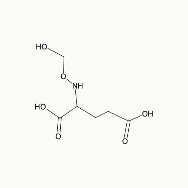 O=C(O)CCC(NOCO)C(=O)O